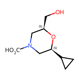 O=C(O)N1C[C@@H](CO)O[C@@H](C2CC2)C1